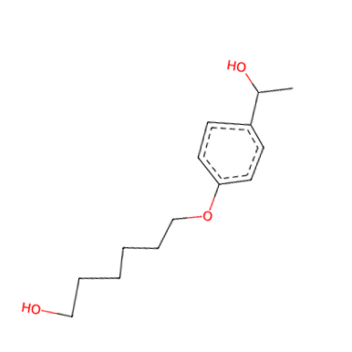 CC(O)c1ccc(OCCCCCCO)cc1